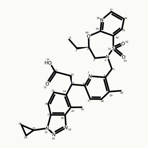 CC[C@@H]1CN(Cc2nc([C@H](CC(=O)O)c3ccc4c(nnn4C4CC4)c3C)ccc2C)S(=O)(=O)c2cccnc2O1